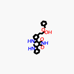 Cc1[nH]c2ccccc2c1C1=C(c2c[nH]c3ccc(CCC(O)OCc4ccccc4)cc23)C(=O)NC1=O